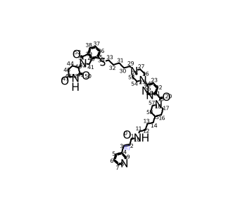 O=C(/C=C/c1cccnc1)NCCCCC1CCN(C(=O)c2ccc(N3CCN(CCCCCSc4cccc5c4CN(C4CCC(=O)NC4=O)C5=O)CC3)nn2)CC1